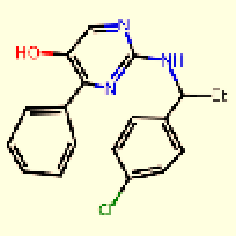 CCC(Nc1ncc(O)c(-c2ccccc2)n1)c1ccc(Cl)cc1